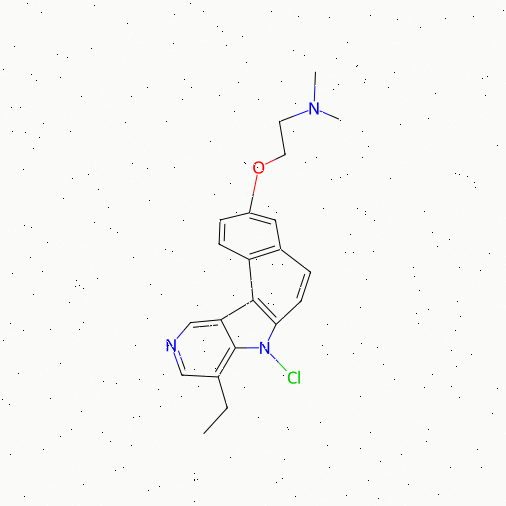 CCc1cncc2c3c4ccc(OCCN(C)C)cc4ccc3n(Cl)c12